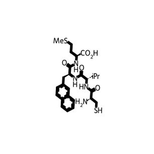 CSCC[C@H](NC(=O)[C@H](Cc1ccc2ccccc2c1)NC(=O)[C@@H](NC(=O)[C@@H](N)CS)C(C)C)C(=O)O